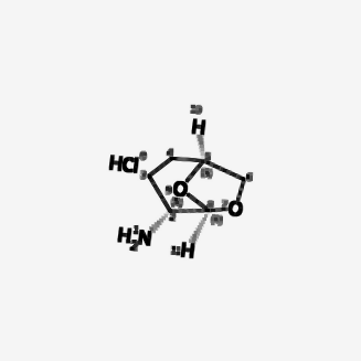 Cl.N[C@@H]1CC[C@H]2CO[C@@H]1O2